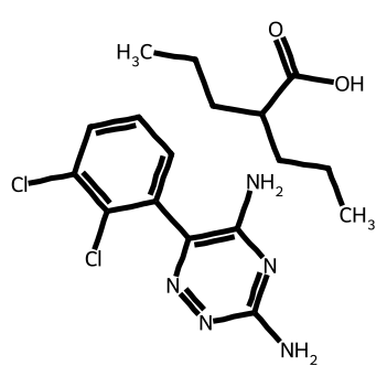 CCCC(CCC)C(=O)O.Nc1nnc(-c2cccc(Cl)c2Cl)c(N)n1